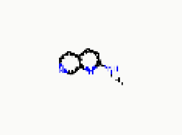 CNc1ccc2ccncc2n1